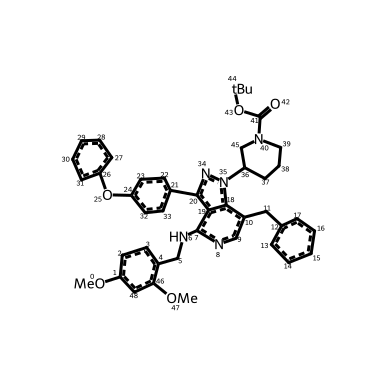 COc1ccc(CNc2ncc(Cc3ccccc3)c3c2c(-c2ccc(Oc4ccccc4)cc2)nn3C2CCCN(C(=O)OC(C)(C)C)C2)c(OC)c1